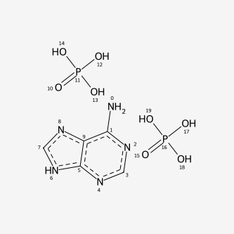 Nc1ncnc2[nH]cnc12.O=P(O)(O)O.O=P(O)(O)O